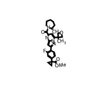 COC(=O)C1(c2ccc(-c3cc4nc(C(=O)N5CCCCC[C@H]5C)cc(C5(C)COC5)n4n3)c(F)c2)CC1